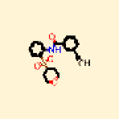 C#Cc1cccc(C(=O)Nc2ccccc2S(=O)(=O)C2CCOCC2)c1